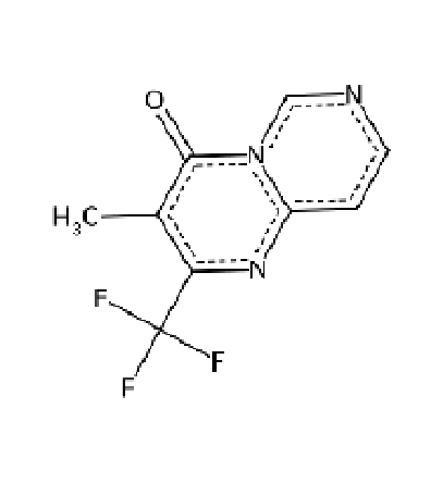 Cc1c(C(F)(F)F)nc2ccncn2c1=O